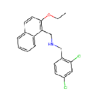 CCOc1ccc2ccccc2c1CNCc1ccc(Cl)cc1Cl